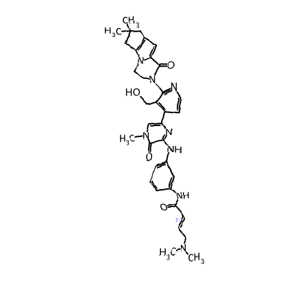 CN(C)C/C=C/C(=O)Nc1cccc(Nc2nc(-c3ccnc(N4CCn5c(cc6c5CC(C)(C)C6)C4=O)c3CO)cn(C)c2=O)c1